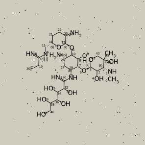 CN[C@@H]1C(O)[C@@H](OC2C(O)C(O[C@H]3O[C@H](CNC(=N)CF)CCC3N)[C@@H](N)C[C@H]2NC(=N)C(O)C(O)C(O)C(O)CO)OCC1(C)O